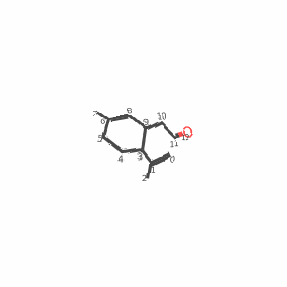 C=C(C)C1CCC(C)=CC1CC=O